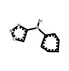 CC(=O)N(c1ccccc1)c1conn1